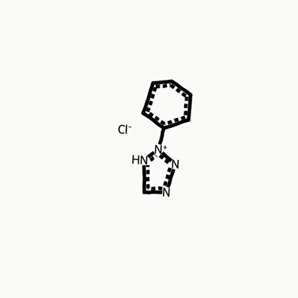 [Cl-].c1ccc(-[n+]2nnc[nH]2)cc1